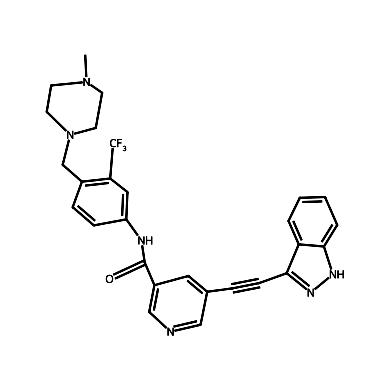 CN1CCN(Cc2ccc(NC(=O)c3cncc(C#Cc4n[nH]c5ccccc45)c3)cc2C(F)(F)F)CC1